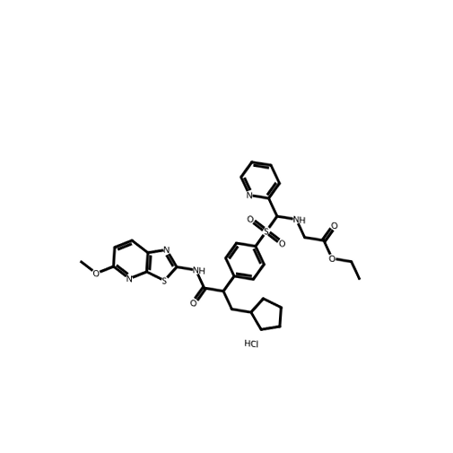 CCOC(=O)CNC(c1ccccn1)S(=O)(=O)c1ccc(C(CC2CCCC2)C(=O)Nc2nc3ccc(OC)nc3s2)cc1.Cl